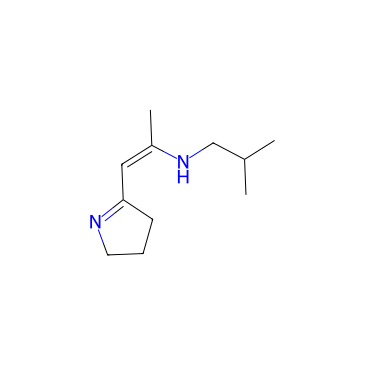 CC(=CC1=NCCC1)NCC(C)C